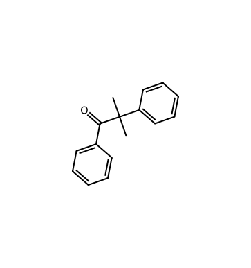 CC(C)(C(=O)c1ccccc1)c1ccccc1